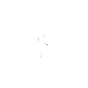 CCOC(=O)CCCCCCN1C(=O)CC[C@@H]1C=C[C@@H](O)C(F)(F)c1ccc(I)cc1